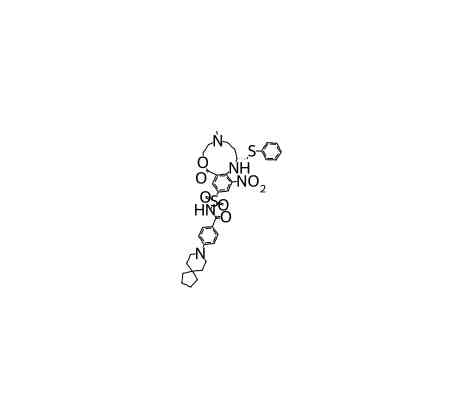 CN1CCOC(=O)c2cc(S(=O)(=O)NC(=O)c3ccc(N4CCC5(CCCC5)CC4)cc3)cc([N+](=O)[O-])c2N[C@@H](CSc2ccccc2)CC1